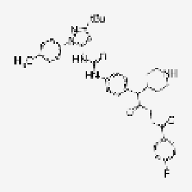 Cc1ccc(-n2nc(C(C)(C)C)cc2NC(=O)Nc2ccc(C(C(=O)CCC(=O)c3ccc(F)cc3)C3CCNCC3)cc2)cc1